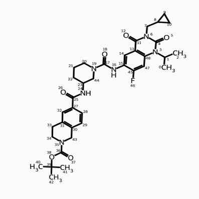 CC(C)n1c(=O)n(CC2CC2)c(=O)c2cc(NC(=O)N3CCCC(NC(=O)c4ccc5c(c4)CCN(C(=O)OC(C)(C)C)C5)C3)c(F)cc21